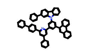 c1ccc(-c2ccc(-c3cc(-c4ccccc4)cc(-c4cc(-c5cc6ccccc6c6ccccc56)cc(-n5c6ccccc6c6ccc(-c7ccccc7)cc65)c4)n3)cc2)cc1